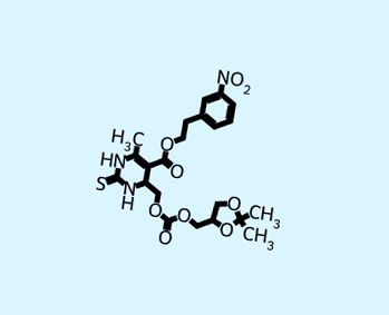 CC1=C(C(=O)OCCc2cccc([N+](=O)[O-])c2)C(COC(=O)OCC2COC(C)(C)O2)NC(=S)N1